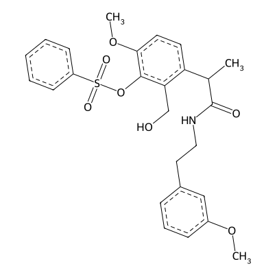 COc1cccc(CCNC(=O)C(C)c2ccc(OC)c(OS(=O)(=O)c3ccccc3)c2CO)c1